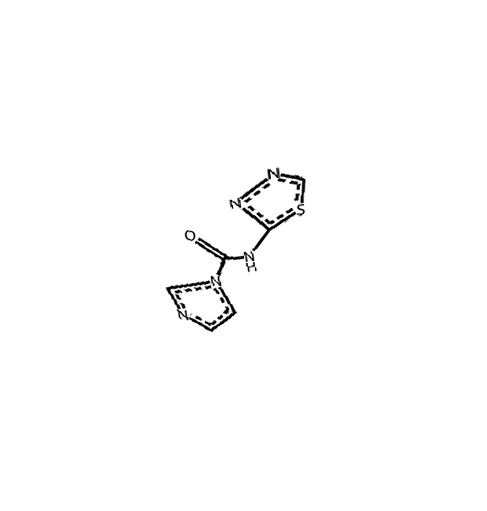 O=C(Nc1nncs1)n1ccnc1